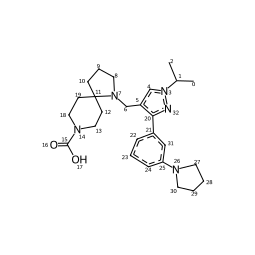 CC(C)n1cc(CN2CCCC23CCN(C(=O)O)CC3)c(-c2cccc(N3CCCC3)c2)n1